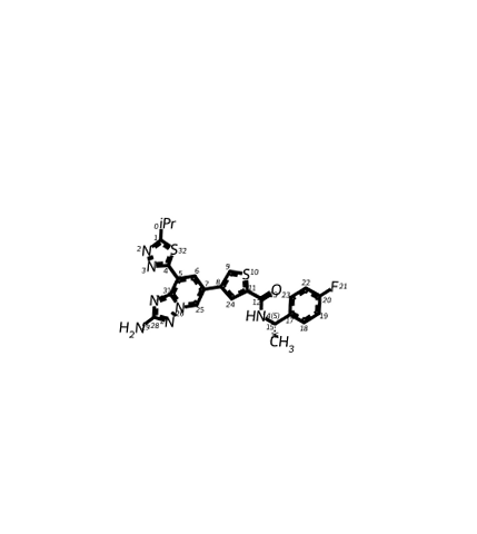 CC(C)c1nnc(-c2cc(-c3csc(C(=O)N[C@@H](C)c4ccc(F)cc4)c3)cn3nc(N)nc23)s1